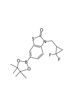 CC1(C)OB(c2ccc3c(c2)sc(=O)n3CC2CC2(F)F)OC1(C)C